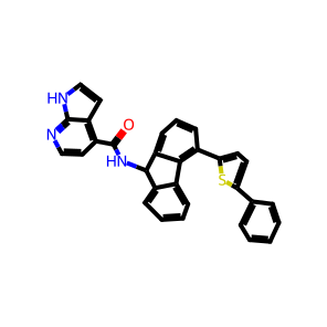 O=C(NC1c2ccccc2-c2c(-c3ccc(-c4ccccc4)s3)cccc21)c1ccnc2[nH]ccc12